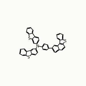 c1ccc2c(c1)sc1cc(N(c3ccc(-c4ccc5ccc6sc7ccccc7c6c5c4)cc3)c3ccc4sc5ccccc5c4c3)ccc12